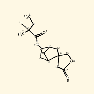 CCC(C)(I)C(=O)OC1CC2CC1CC21COC(=O)C1